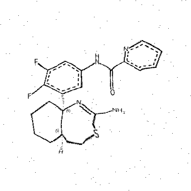 NC1=N[C@]2(c3cc(NC(=O)c4ccccn4)cc(F)c3F)CCCC[C@@H]2CS1